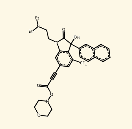 CCN(CC)CCN1C(=O)C(O)(c2ccc3ccccc3c2)c2c1cc(C#CC(=O)ON1CCOCC1)cc2C(F)(F)F